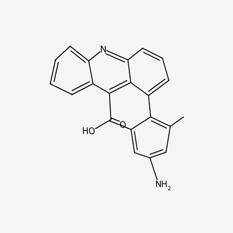 Cc1cc(N)cc(C)c1-c1cccc2nc3ccccc3c(C(=O)O)c12